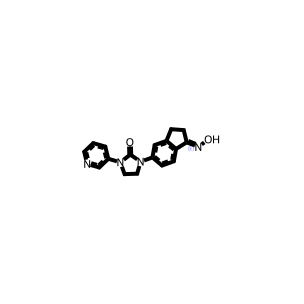 O=C1N(c2cccnc2)CCN1c1ccc2c(c1)CC/C2=N\O